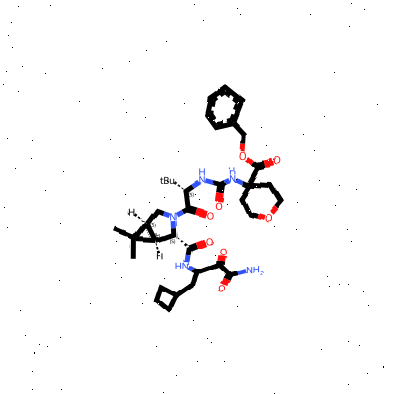 CC(C)(C)[C@H](NC(=O)NC1(C(=O)OCc2ccccc2)CCOCC1)C(=O)N1C[C@H]2[C@@H]([C@H]1C(=O)NC(CC1CCC1)C(=O)C(N)=O)C2(C)C